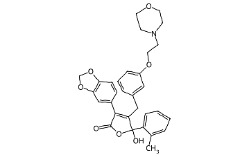 Cc1ccccc1C1(O)OC(=O)C(c2ccc3c(c2)OCO3)=C1Cc1cccc(OCCN2CCOCC2)c1